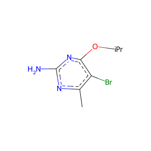 Cc1nc(N)nc(OC(C)C)c1Br